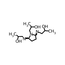 CC(O)CN=C1CCC(=NCC(C)O)N1CC(C)O